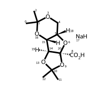 CC1(C)OC[C@@H]2O[C@@]3(C(=O)O)OC(C)(C)O[C@H]3[C@@H]2O1.[NaH]